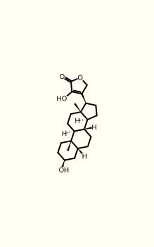 C[C@]12CC[C@H](O)C[C@H]1CC[C@@H]1[C@@H]2CC[C@]2(C)[C@@H](C3=C(O)C(=O)OC3)CC[C@@H]12